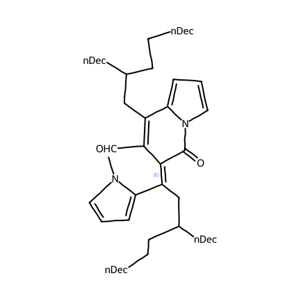 CCCCCCCCCCCCC(CCCCCCCCCC)C/C(c1cccn1C)=c1/c(C=O)c(CC(CCCCCCCCCC)CCCCCCCCCCCC)c2cccn2c1=O